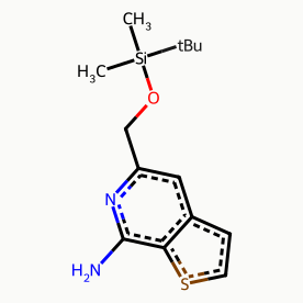 CC(C)(C)[Si](C)(C)OCc1cc2ccsc2c(N)n1